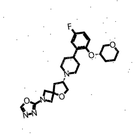 Fc1ccc(O[C@H]2CCCOC2)c(C2CCN([C@@H]3COC4(C3)CN(c3nnco3)C4)CC2)c1